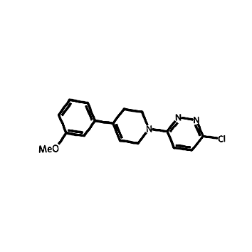 COc1cccc(C2=CCN(c3ccc(Cl)nn3)CC2)c1